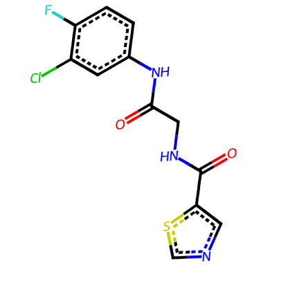 O=C(CNC(=O)c1cncs1)Nc1ccc(F)c(Cl)c1